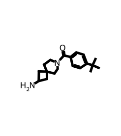 CC(C)(C)c1ccc(C(=O)N2CCC3(CC2)CC(N)C3)cc1